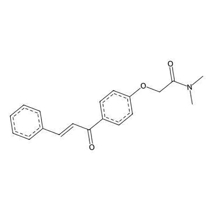 CN(C)C(=O)COc1ccc(C(=O)C=Cc2ccccc2)cc1